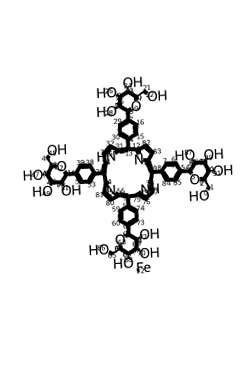 OC[C@H]1OC(c2ccc(-c3c4nc(c(-c5ccc(C6O[C@H](CO)[C@@H](O)[C@H](O)[C@H]6O)cc5)c5ccc([nH]5)c(-c5ccc(C6O[C@H](CO)[C@@H](O)[C@H](O)[C@H]6O)cc5)c5nc(c(-c6ccc(C7O[C@H](CO)[C@@H](O)[C@H](O)[C@H]7O)cc6)c6ccc3[nH]6)C=C5)C=C4)cc2)[C@H](O)[C@@H](O)[C@@H]1O.[Fe]